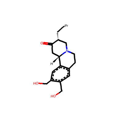 CC(C)C[C@@H]1CN2CCc3cc(CO)c(CO)cc3[C@@H]2CC1=O